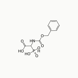 O=C(NC(C(=O)O)P(=O)(O)O)OCc1ccccc1